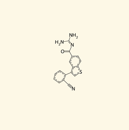 N#Cc1ccccc1-c1csc2ccc(C(=O)N=C(N)N)cc12